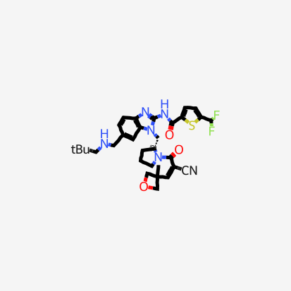 CC(C)(C)CNCc1ccc2nc(NC(=O)c3ccc(C(F)F)s3)n(C[C@H]3CCCN3C(=O)C(C#N)=CC3(C)COC3)c2c1